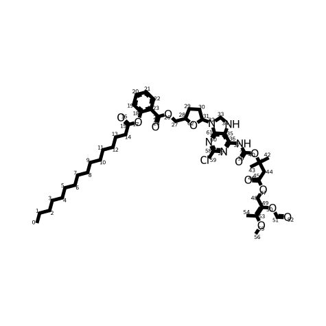 CCCCCCCCCCCCCCCC(=O)Oc1ccccc1C(=O)OCC1CCC(N2CNc3c(NC(=O)OC(C)(C)CC(=O)OC/C(OC=O)=C(\C)OC)nc(Cl)nc32)O1